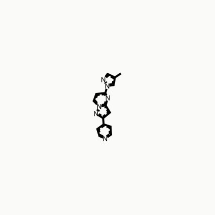 Cc1cnn(-c2ccn3nc(-c4ccncc4)cc3n2)c1